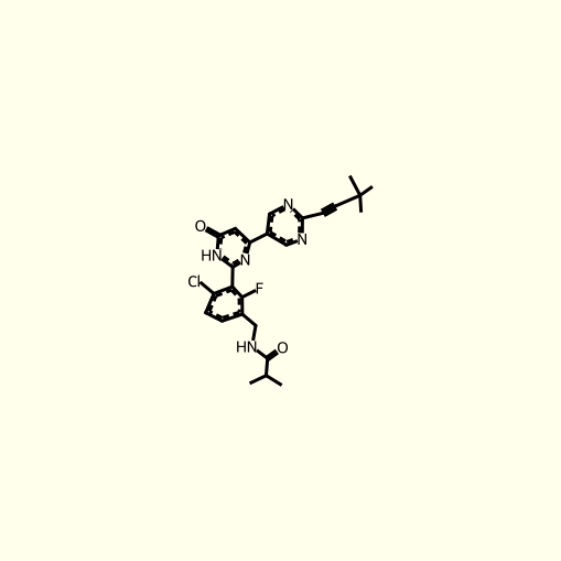 CC(C)C(=O)NCc1ccc(Cl)c(-c2nc(-c3cnc(C#CC(C)(C)C)nc3)cc(=O)[nH]2)c1F